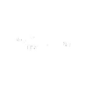 CC(C)(C)OC(=O)N[C@H]1CC2(CC[C@@H](N)CC2)C1